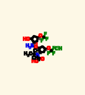 CC(C)(C)N(C(=O)O)[C@H]1C[C@H](OC(F)(F)F)C[C@@H]1O.Cl.N[C@H]1C[C@H](OC(F)(F)F)C[C@@H]1O